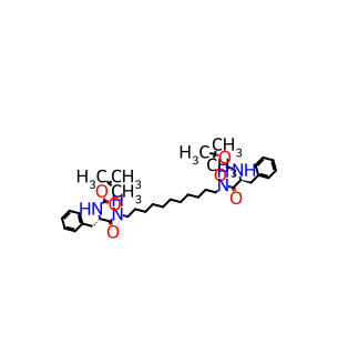 CC(C)(C)OC(=O)N[C@@H](Cc1ccccc1)C(=O)NCCCCCCCCCCCNC(=O)[C@H](Cc1ccccc1)NC(=O)OC(C)(C)C